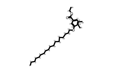 CCCCCCCCCCCCCCCCCCOc1cc(C(=O)OCC)cc(C)c1C